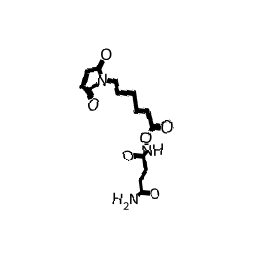 NC(=O)CCC(=O)NOC(=O)CCCCCN1C(=O)C=CC1=O